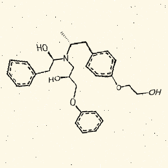 C[C@H](Cc1ccc(OCCO)cc1)N(C[C@H](O)COc1ccccc1)[C@H](O)Cc1ccccc1